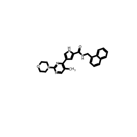 Cc1cnc(N2CCOCC2)nc1-c1c[nH]c(C(=O)NCc2cccc3ccccc23)c1